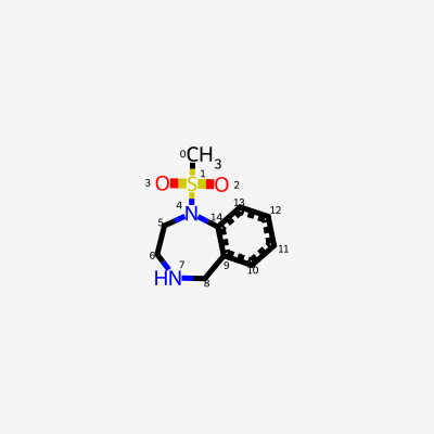 CS(=O)(=O)N1CCNCc2ccccc21